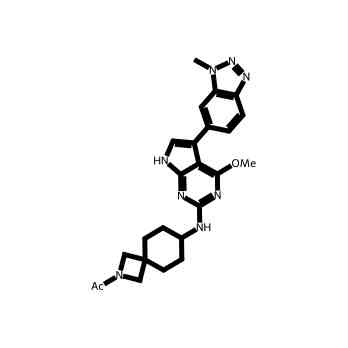 COc1nc(NC2CCC3(CC2)CN(C(C)=O)C3)nc2[nH]cc(-c3ccc4nnn(C)c4c3)c12